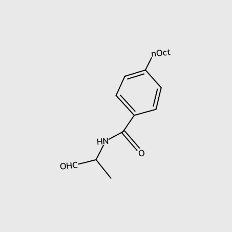 CCCCCCCCc1ccc(C(=O)NC(C)C=O)cc1